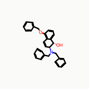 O[C@H]1c2cccc(OCc3ccccc3)c2C=C[C@@H]1N(Cc1ccccc1)Cc1ccccc1